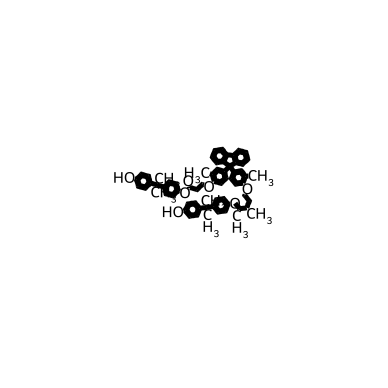 Cc1cc(C2(c3ccc(OCCC(C)C(C)Oc4ccc(C(C)(C)c5ccc(O)cc5)cc4)c(C)c3)c3ccccc3-c3ccccc32)ccc1OCCC(=O)Oc1ccc(C(C)(C)c2ccc(O)cc2)cc1